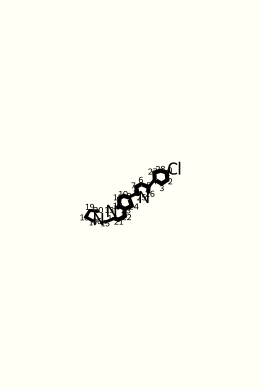 Clc1ccc(-c2ccc(-c3ccc4nc(CN5CCCC5)ccc4c3)nc2)cc1